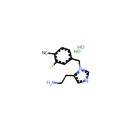 Cl.Cl.N#Cc1ccc(Cn2cncc2CCN)cc1F